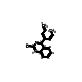 C=C/C=C(\C=C/C)c1nc(Cl)nc2ccccc12